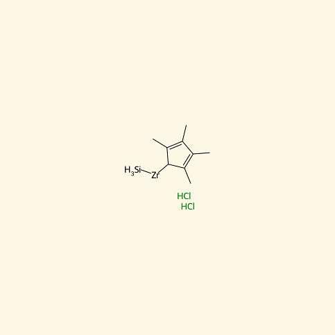 CC1=C(C)[CH]([Zr][SiH3])C(C)=C1C.Cl.Cl